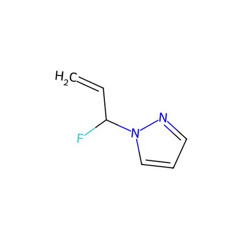 C=CC(F)n1cccn1